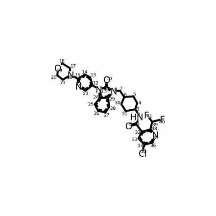 O=C(NC1CCC(Cn2c(=O)n(-c3ccc(N4CCOCC4)nc3)c3ccccc32)CC1)c1cc(Cl)cnc1C(F)F